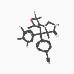 CC(C)CC(c1ccc(C#N)cc1)(c1cc(Cl)c(F)c(Cl)c1)C1(C)C(=O)NCN1C(=O)C(F)(F)F